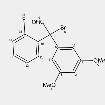 COc1cc(OC)cc(C(Br)(C=O)c2ccccc2F)c1